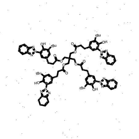 CC(C)(C)c1cc(CCC(=O)OCC(COC(=O)CCc2cc(-n3nc4ccccc4n3)c(O)c(C(C)(C)C)c2)(COC(=O)CCc2cc(-n3nc4ccccc4n3)c(O)c(C(C)(C)C)c2)COC(=O)CCc2cc(-n3nc4ccccc4n3)c(O)c(C(C)(C)C)c2)cc(-n2nc3c(n2)CCC=C3)c1O